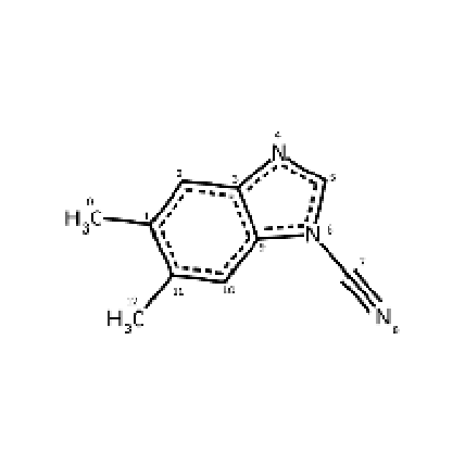 Cc1cc2ncn(C#N)c2cc1C